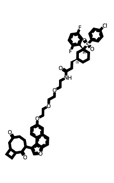 O=C1CCC(c2coc3ccc4cc(OCCOCCOCCNC(=O)CC[C@@H]5CCC[C@@](c6cc(F)ccc6F)(S(=O)(=O)c6ccc(Cl)cc6)C5)ccc4c23)C(=O)C2CCC2C1